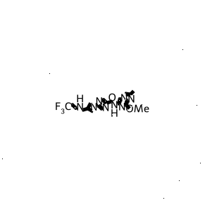 COc1nc(NC(=O)c2cnc(N3CC(CNCCC(F)(F)F)C3)cn2)cn2cc(C)nc12